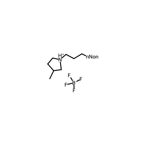 CCCCCCCCCCCC[NH+]1CCC(C)C1.F[B-](F)(F)F